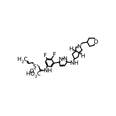 C=CC[S+]([O-])C[C@H](Nc1cc(F)c(F)c(-c2ccc(NC3C[C@@H]4CN(CC5CCOCC5)C[C@@H]4C3)nn2)c1)C(=O)O